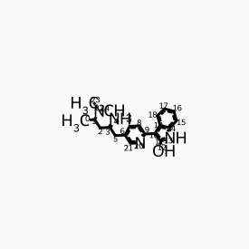 CC(CC(=N)Cc1ccc(-c2c(O)[nH]c3ccccc23)nc1)N(C)C